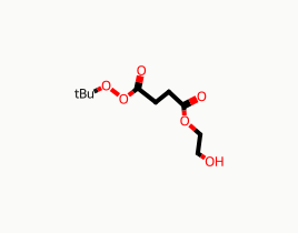 CC(C)(C)OOC(=O)CCC(=O)OCCO